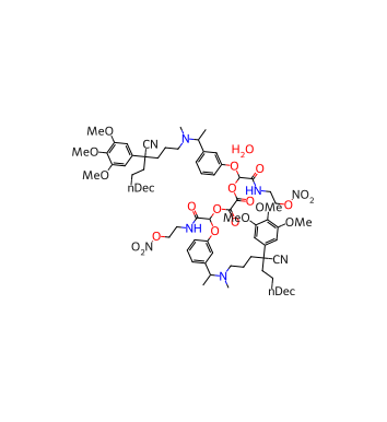 CCCCCCCCCCCCC(C#N)(CCCN(C)C(C)c1cccc(OC(OC(=O)C(=O)OC(Oc2cccc(C(C)N(C)CCCC(C#N)(CCCCCCCCCCCC)c3cc(OC)c(OC)c(OC)c3)c2)C(=O)NCCO[N+](=O)[O-])C(=O)NCCO[N+](=O)[O-])c1)c1cc(OC)c(OC)c(OC)c1.O